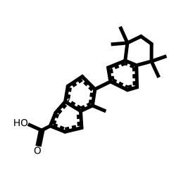 Cc1c(-c2ccc3c(c2)C(C)(C)CCC3(C)C)ccc2cc(C(=O)O)ccc12